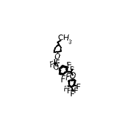 CCCC1CCC(OCC(F)(F)Oc2cc(F)c(C(F)(F)Oc3cc(F)c(C(F)(F)F)c(F)c3)c(F)c2)CC1